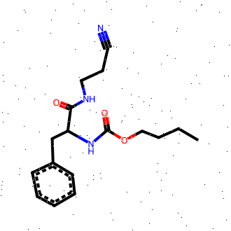 CCCCOC(=O)NC(Cc1ccccc1)C(=O)NCCC#N